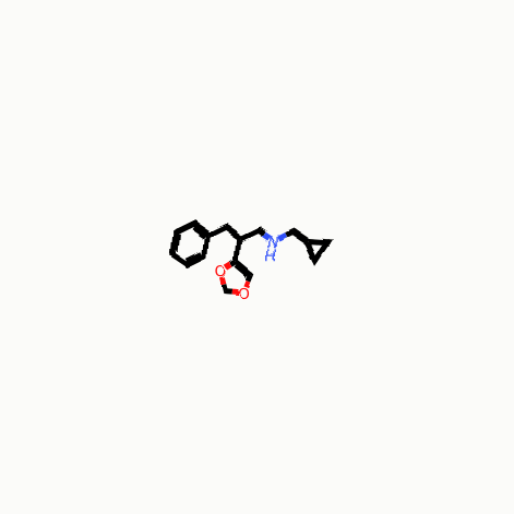 C1=C(C(CNCC2CC2)Cc2ccccc2)OCO1